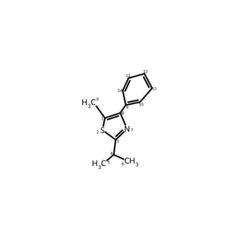 Cc1sc(C(C)C)nc1-c1ccccc1